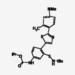 CNc1ccc(-c2ncc(-c3ccc(NC(=O)OC(C)C)cc3SNC(C)(C)C)s2)c(C)c1